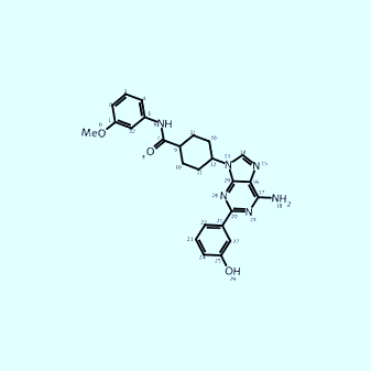 COc1cccc(NC(=O)C2CCC(n3cnc4c(N)nc(-c5cccc(O)c5)nc43)CC2)c1